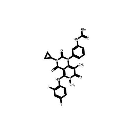 Cc1c(=O)n(C)c(Nc2ccc(I)cc2F)c2c(=O)n(C3CC3)c(=O)n(-c3cccc(NC(=O)C(C)(C)C)c3)c12